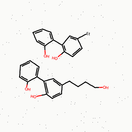 CCc1ccc(O)c(-c2ccccc2O)c1.OCCCCc1ccc(O)c(-c2ccccc2O)c1